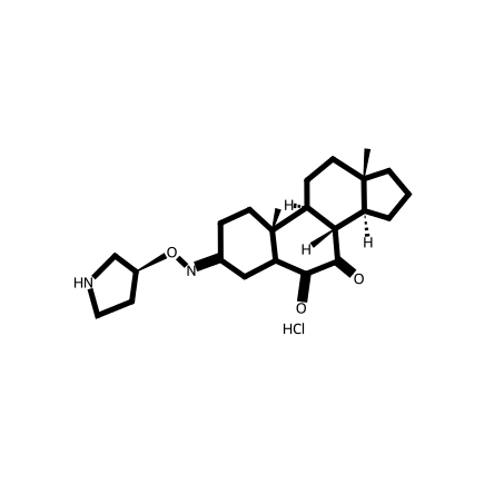 C[C@@]12CCC[C@H]1[C@@H]1C(=O)C(=O)C3C/C(=N/O[C@H]4CCNC4)CC[C@]3(C)[C@H]1CC2.Cl